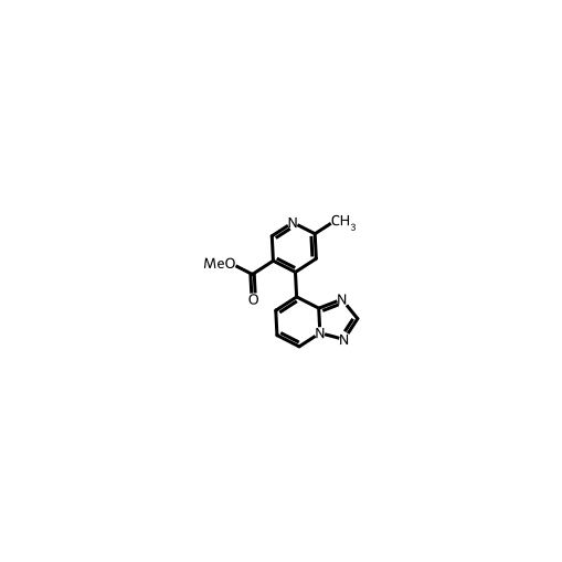 COC(=O)c1cnc(C)cc1-c1cccn2ncnc12